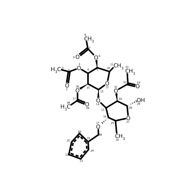 CC(=O)OC1[C@@H](OC(C)=O)C(C)O[C@@H](OC2[C@@H](OCc3ccccc3)C(C)O[C@@H](O)[C@@H]2OC(C)=O)[C@H]1OC(C)=O